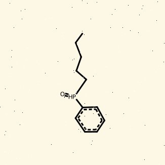 CCCCC[PH](=O)c1ccccc1